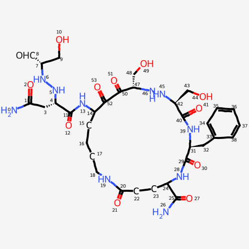 NC(=O)C[C@H](NN[C@H](C=O)CO)C(=O)NC1CCCCNC(=O)CCC(C(N)=O)NC(=O)[C@H](Cc2ccccc2)NC(=O)[C@H](CO)NN[C@@H](CO)C(=O)C1=O